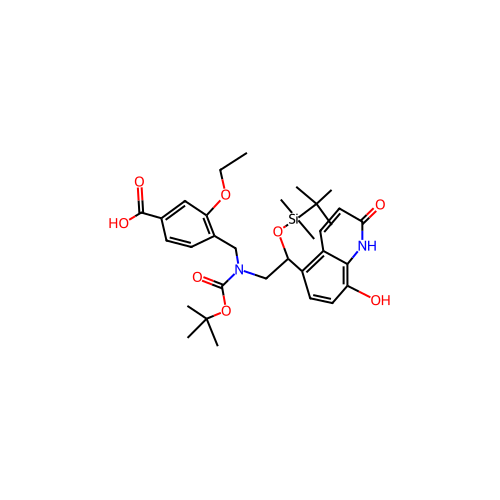 CCOc1cc(C(=O)O)ccc1CN(CC(O[Si](C)(C)C(C)(C)C)c1ccc(O)c2[nH]c(=O)ccc12)C(=O)OC(C)(C)C